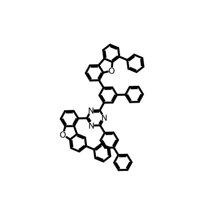 c1ccc(-c2ccc(-c3nc(-c4cc(-c5ccccc5)cc(-c5cccc6c5oc5c(-c7ccccc7)cccc56)c4)nc(-c4cccc5oc6ccc(-c7ccccc7)cc6c45)n3)cc2)cc1